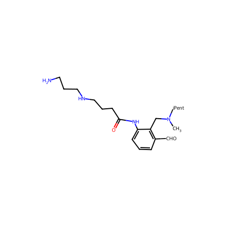 CCCC(C)N(C)Cc1c(C=O)cccc1NC(=O)CCCNCCCN